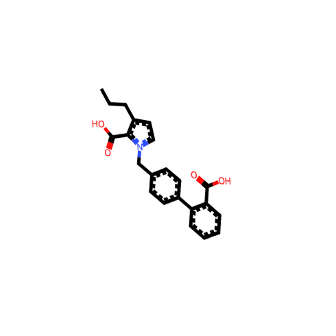 CCCc1ccn(Cc2ccc(-c3ccccc3C(=O)O)cc2)c1C(=O)O